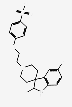 [2H]C1Nc2ccc(Br)cc2C12CCN(CCOc1ccc(S(C)(=O)=O)cc1)CC2